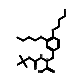 CCCCOc1ccc(C[C@H](NC(=O)OC(C)(C)C)C(=O)O)cc1OCCCC